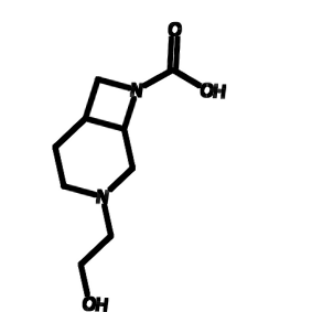 O=C(O)N1CC2CCN(CCO)CC21